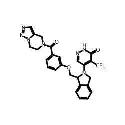 O=C(c1cccc(OCC2c3ccccc3CN2c2cn[nH]c(=O)c2C(F)(F)F)c1)N1CCn2nncc2C1